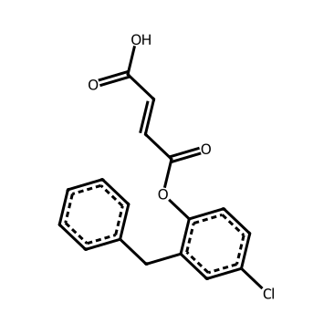 O=C(O)C=CC(=O)Oc1ccc(Cl)cc1Cc1ccccc1